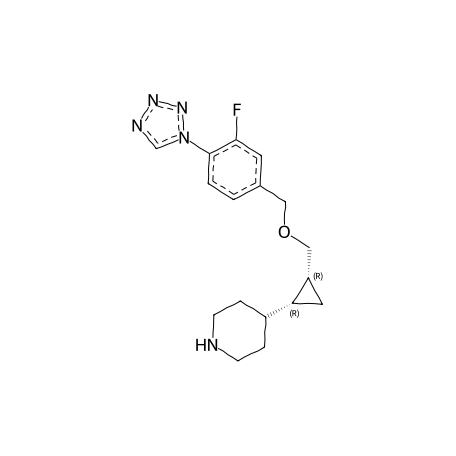 Fc1cc(COC[C@@H]2C[C@@H]2C2CCNCC2)ccc1-n1cnnn1